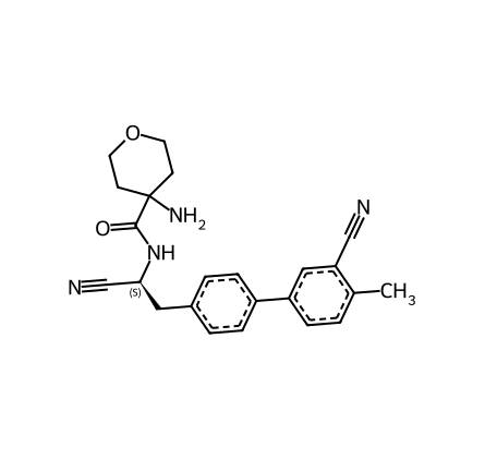 Cc1ccc(-c2ccc(C[C@@H](C#N)NC(=O)C3(N)CCOCC3)cc2)cc1C#N